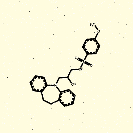 N#CC(CNS(=O)(=O)c1ccc(OC(F)(F)F)cc1)CN1c2ccccc2CCc2ccccc21